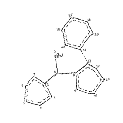 CC(C)(C)C(c1ccccc1)c1ccccc1-c1ccccc1